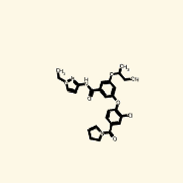 CCn1ccc(NC(=O)c2cc(Oc3ccc(C(=O)N4CCCC4)cc3Cl)cc(OC(C)CO)c2)n1